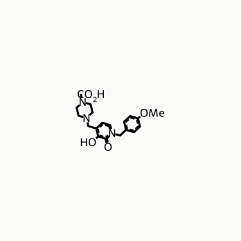 COc1ccc(Cn2ccc(CN3CCN(C(=O)O)CC3)c(O)c2=O)cc1